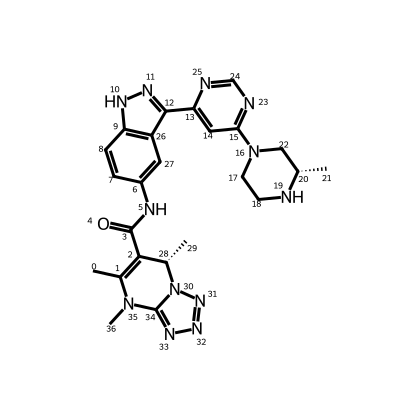 CC1=C(C(=O)Nc2ccc3[nH]nc(-c4cc(N5CCN[C@@H](C)C5)ncn4)c3c2)[C@H](C)n2nnnc2N1C